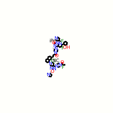 C=C(F)C(=O)N1CCN(c2nc(OC[C@@H]3CCCN3C)nc3c2CCN(c2cccc4ccc(/C=C/C(=O)N5CCN(c6nc(=O)n(-c7c(C)ccnc7C(C)C)c7nc(-c8c(O)cccc8F)c(F)cc67)[C@@H](C)C5)c(Cl)c24)C3)C[C@@H]1CC#N